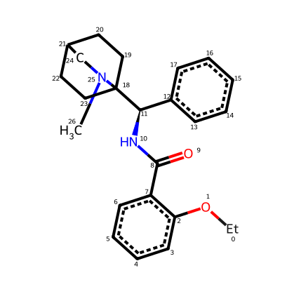 CCOc1ccccc1C(=O)N[C@H](c1ccccc1)C12CCC(CC1)CN2C